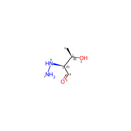 C[C@@H](O)[C@@H](C=O)NN